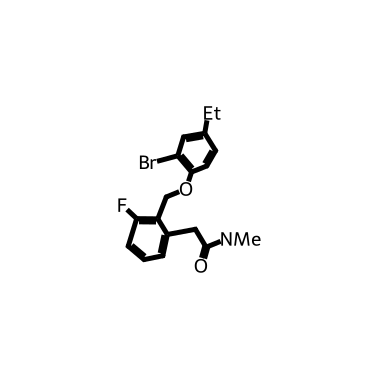 CCc1ccc(OCc2c(F)cccc2CC(=O)NC)c(Br)c1